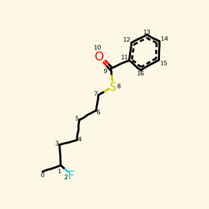 CC(F)CCCCCSC(=O)c1ccccc1